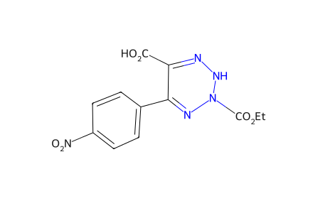 CCOC(=O)N1N=C(c2ccc([N+](=O)[O-])cc2)C(C(=O)O)=NN1